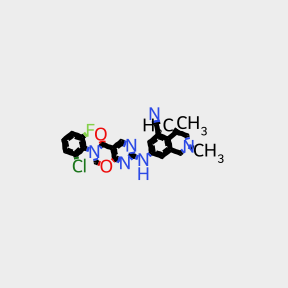 CN1Cc2cc(Nc3ncc4c(n3)OCN(c3c(F)cccc3Cl)C4=O)cc(C#N)c2C(C)(C)C1